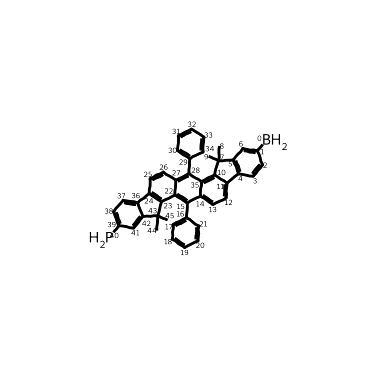 Bc1ccc2c(c1)C(C)(C)c1c-2ccc2c(-c3ccccc3)c3c4c(ccc3c(-c3ccccc3)c12)-c1ccc(P)cc1C4(C)C